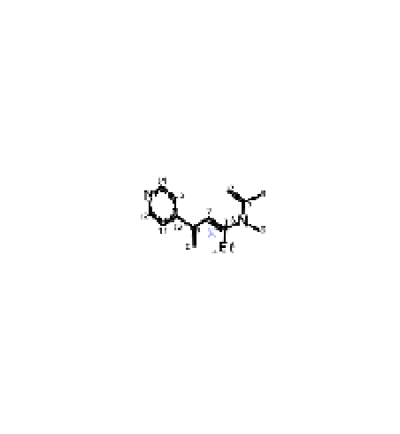 C=C(/C=C(\CC)N(C)C(=C)C)c1ccncc1